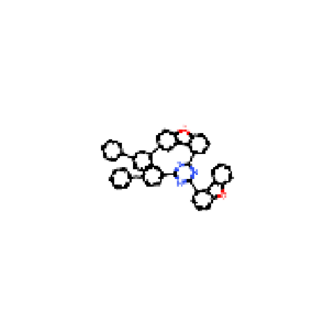 c1ccc(-c2ccc(-c3nc(-c4cccc5oc6ccccc6c45)nc(-c4cccc5oc6ccc(-c7cccc(-c8ccccc8)c7)cc6c45)n3)cc2)cc1